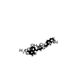 Cn1nc(CC(CC(=O)O)c2cc(C(C)(C)C)ccc2F)cc1OCCc1ccc2c(n1)NCCC2